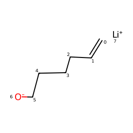 C=CCCCC[O-].[Li+]